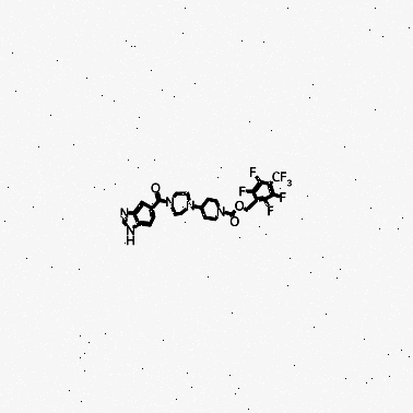 O=C(OCc1c(F)c(F)c(C(F)(F)F)c(F)c1F)N1CCC(N2CCN(C(=O)c3ccc4[nH]cnc4c3)CC2)CC1